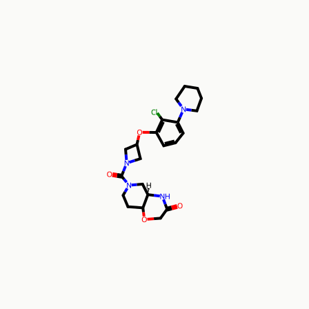 O=C1COC2CCN(C(=O)N3CC(Oc4cccc(N5CCCCC5)c4Cl)C3)C[C@H]2N1